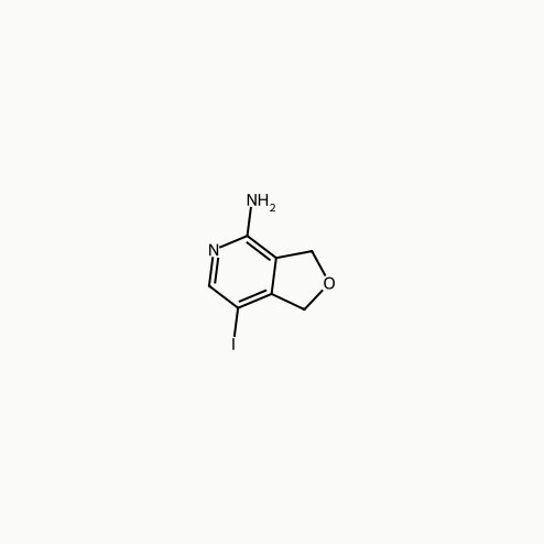 Nc1ncc(I)c2c1COC2